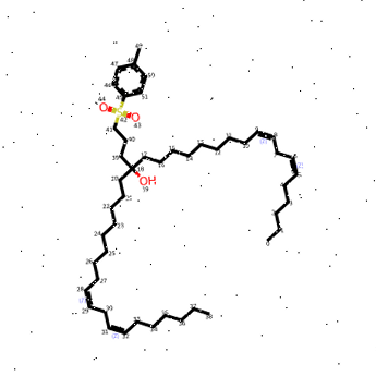 CCCCC/C=C\C/C=C\CCCCCCCCC(O)(CCCCCCCC/C=C\C/C=C\CCCCCC)CCCS(=O)(=O)c1ccc(C)cc1